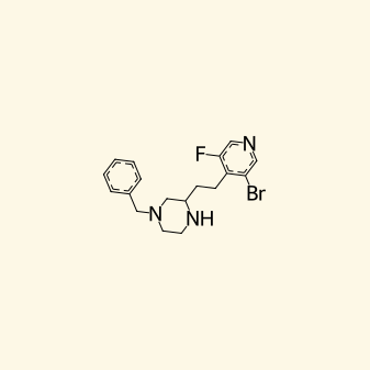 Fc1cncc(Br)c1CCC1CN(Cc2ccccc2)CCN1